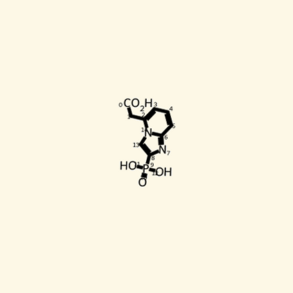 O=C(O)Cc1cccc2nc(P(=O)(O)O)cn12